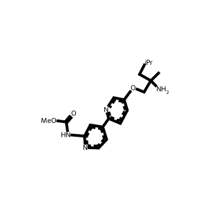 COC(=O)Nc1cc(-c2ccc(OCC(C)(N)CC(C)C)cn2)ccn1